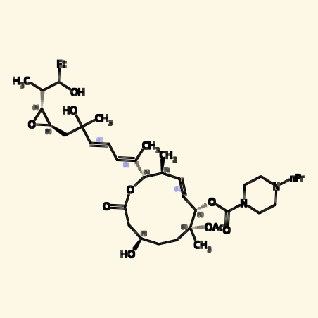 CCCN1CCN(C(=O)O[C@H]2/C=C/[C@H](C)[C@@H](/C(C)=C/C=C/C(C)(O)C[C@H]3O[C@@H]3C(C)C(O)CC)OC(=O)C[C@H](O)CC[C@@]2(C)OC(C)=O)CC1